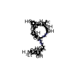 CC[C@@H](C[C@H](C)[C@@]1(O)O[C@@H](C[C@H](O)[C@@H](C)CC/C=C/C=C(\C)[C@@H]2C/C=C/C=C/[C@@H](O)[C@H](C)[C@@H](O)[C@@H](CCC(C)=O)C(=O)N[C@@H](C(C)C)C(=O)N[C@@H](Cc3cccc(O)c3)C(=O)N3CCC[C@H](N3)C(=O)O2)[C@H](C)[C@H](O)[C@@H]1C)C(N)=O